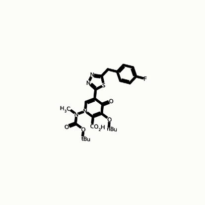 CCCCOc1c(C(=O)O)n(N(C)C(=O)OC(C)(C)C)cc(-c2nnc(Cc3ccc(F)cc3)s2)c1=O